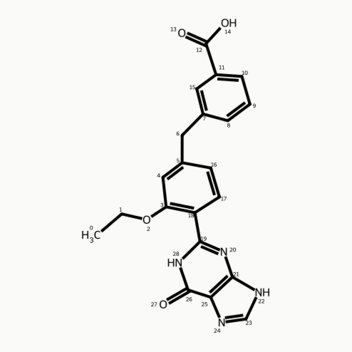 CCOc1cc(Cc2cccc(C(=O)O)c2)ccc1-c1nc2[nH]cnc2c(=O)[nH]1